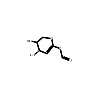 O=COC1=C[C@@H](O)C(O)CO1